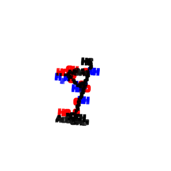 C#CCCNC(=O)CCCCCNC(=O)[C@@H](CCCCNC(=O)CCCCOC1CC(CO)C(OC(C)=O)C(OC(C)=O)C1C)NC(=O)CCCCOC1OC(COC(C)=O)C(O)C(O)C1N